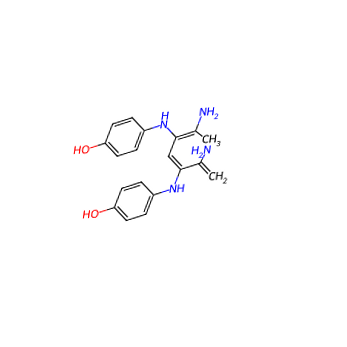 C=C(N)/C(=C\C(Nc1ccc(O)cc1)=C(/C)N)Nc1ccc(O)cc1